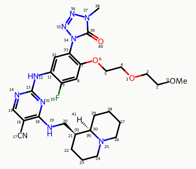 COCCOCCOc1cc(F)c(Nc2ncc(C#N)c(NC[C@@H]3CCCN4CCCC[C@H]34)n2)cc1-n1nnn(C)c1=O